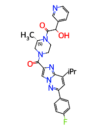 CC(C)c1cc(-c2ccc(F)cc2)nn2cc(C(=O)N3CCN(C(=O)C(O)c4cccnc4)[C@@H](C)C3)nc12